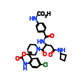 O=C(O)Nc1ccc(C(=O)NC(CC(=O)NC2CCC2)C(=O)N2CCC[C@@]3(C2)OC(=O)Nc2ccc(Cl)cc23)cc1